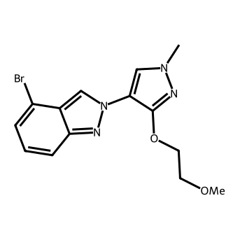 COCCOc1nn(C)cc1-n1cc2c(Br)cccc2n1